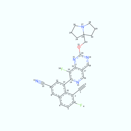 C#Cc1c(F)ccc2cc(C#N)cc(-c3ncc4cnc(OCC56CCCN5CCC6)nc4c3F)c12